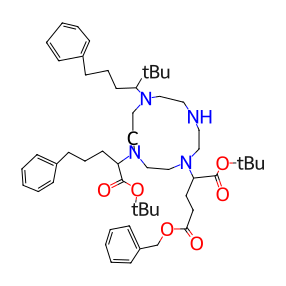 CC(C)(C)OC(=O)C(CCC(=O)OCc1ccccc1)N1CCNCCN(C(CCCc2ccccc2)C(C)(C)C)CCN(C(CCCc2ccccc2)C(=O)OC(C)(C)C)CC1